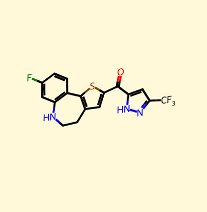 O=C(c1cc(C(F)(F)F)n[nH]1)c1cc2c(s1)-c1ccc(F)cc1NCC2